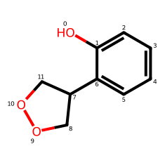 Oc1ccccc1C1COOC1